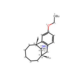 CC(C)COCOc1ccc2c(c1)[C@@]1(C)CCCCC[C@@H](C2)[C@@H]1N